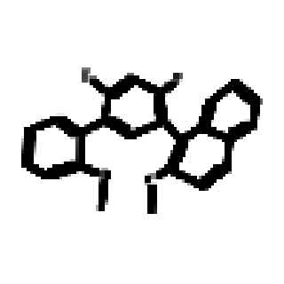 COc1ccccc1-c1cc(-c2c(OC)ccc3ccccc23)c(F)cc1F